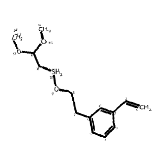 C=Cc1cccc(CCO[SiH2]CC(OC)OC)c1